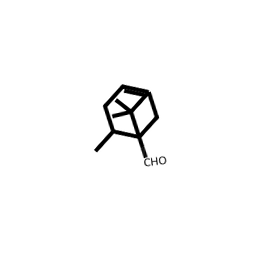 CC1CC=C2CC1(C=O)C2(C)C